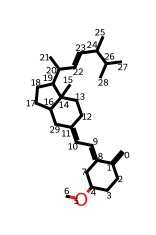 C=C1CCC(OC)C/C1=C\C=C1/CCC2(C)C(CCC2C(C)/C=C/C(C)C(C)C)C1